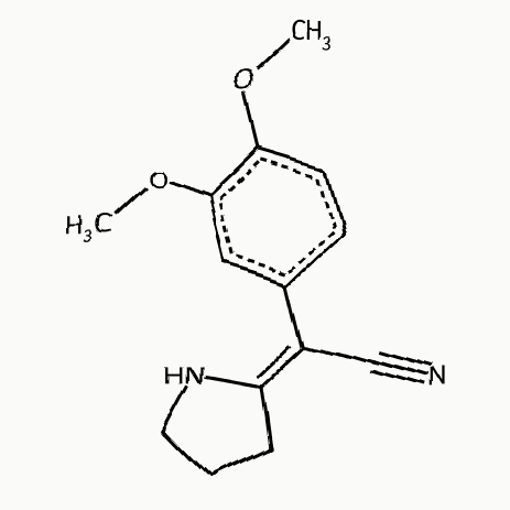 COc1ccc(C(C#N)=C2CCCN2)cc1OC